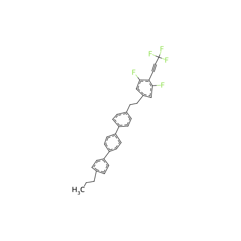 CCCc1ccc(-c2ccc(-c3ccc(CCc4cc(F)c(C#CC(F)(F)F)c(F)c4)cc3)cc2)cc1